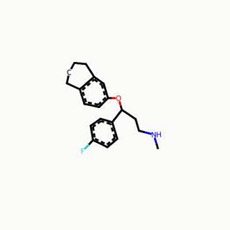 CNCCC(Oc1ccc2c(c1)CCCC2)c1ccc(F)cc1